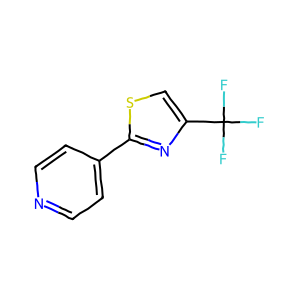 FC(F)(F)c1csc(-c2ccncc2)n1